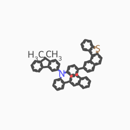 CC1(C)c2ccccc2-c2cc(N(c3ccc(-c4ccc5ccc6sc7ccccc7c6c5c4)cc3)c3ccccc3-c3ccc4ccccc4c3)ccc21